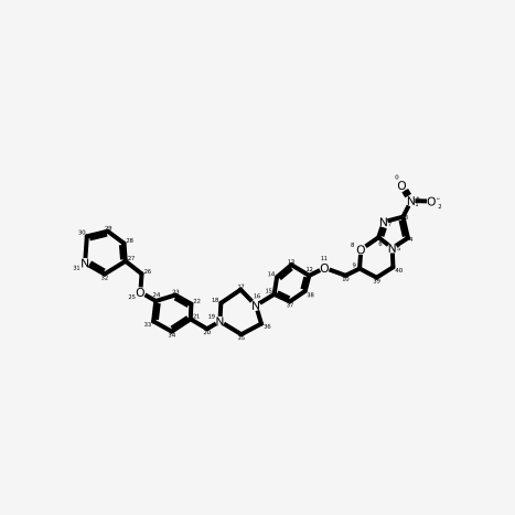 O=[N+]([O-])c1cn2c(n1)OC(COc1ccc(N3CCN(Cc4ccc(OCc5cccnc5)cc4)CC3)cc1)CC2